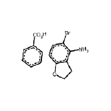 Nc1c(Br)ccc2c1CCO2.O=C(O)c1ccccc1